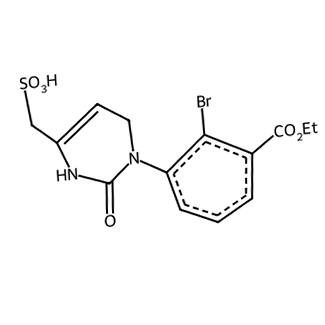 CCOC(=O)c1cccc(N2CC=C(CS(=O)(=O)O)NC2=O)c1Br